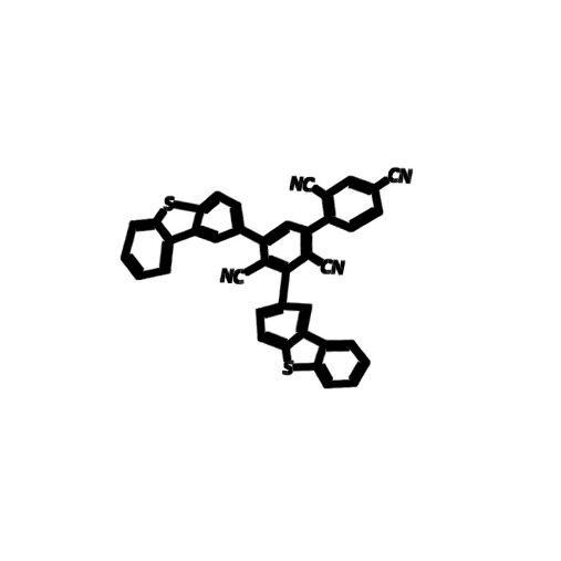 N#Cc1ccc(-c2cc(-c3ccc4sc5ccccc5c4c3)c(C#N)c(-c3ccc4sc5ccccc5c4c3)c2C#N)c(C#N)c1